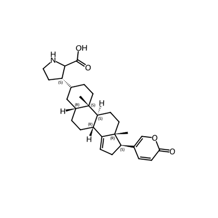 C[C@]12CCC([C@@H]3CCNC3C(=O)O)C[C@H]1CC[C@H]1C3=CC[C@H](c4ccc(=O)oc4)[C@@]3(C)CC[C@@H]12